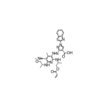 C=CC(=O)OCC(C)Nc1nc(NC(C)COC)c(C#N)c(C)c1N=Nc1nn(-c2nc3ccccc3s2)cc1C(=O)O